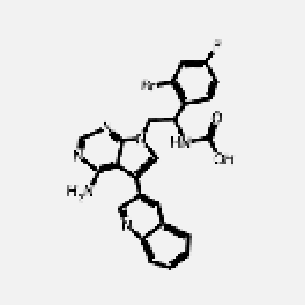 Nc1ncnc2c1c(-c1cnc3ccccc3c1)cn2CC(NC(=O)O)c1ccc(F)cc1Br